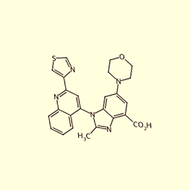 Cc1nc2c(C(=O)O)cc(N3CCOCC3)cc2n1-c1cc(-c2cscn2)nc2ccccc12